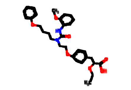 CCOC(Cc1ccc(OCCN(CCCCOc2ccccc2)C(=O)Nc2ccccc2OC)cc1)C(=O)O